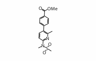 COC(=O)c1ccc(-c2ccc(N(C)S(C)(=O)=O)nc2C)cc1